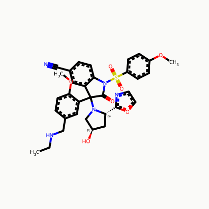 CCNCc1ccc(OC)c(C2(N3C[C@H](O)C[C@H]3c3ncco3)C(=O)N(S(=O)(=O)c3ccc(OC)cc3)c3ccc(C#N)cc32)c1